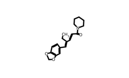 CCC(/C=C/C(=O)N1CCCCC1)=C\c1ccc2c(c1)OCO2